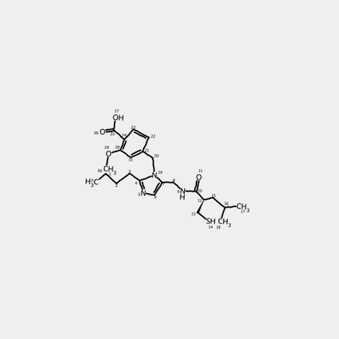 CCCCc1ncc(CNC(=O)[C@H](CS)CC(C)C)n1Cc1ccc(C(=O)O)c(OC)c1